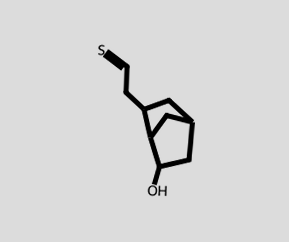 OC1CC2CC(CC=S)C1C2